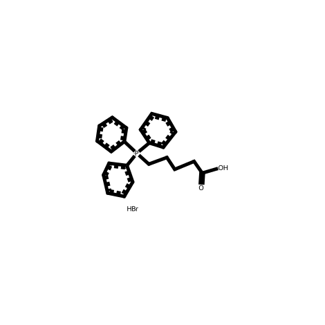 Br.O=C(O)CCCC[P](c1ccccc1)(c1ccccc1)c1ccccc1